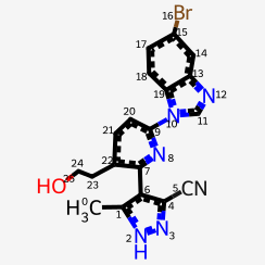 Cc1[nH]nc(C#N)c1-c1nc(-n2cnc3cc(Br)ccc32)ccc1CCO